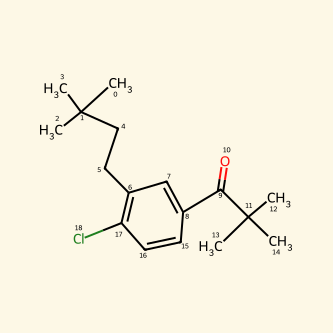 CC(C)(C)CCc1cc(C(=O)C(C)(C)C)ccc1Cl